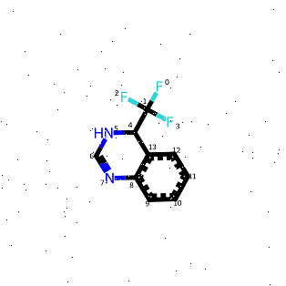 FC(F)(F)C1NC=Nc2ccccc21